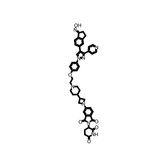 O=C1CCC(N2C(=O)c3ccc(N4CC(C5CCN(CCOc6ccc(-n7cc(-c8ccc9c(c8)CC/C9=N\O)c(-c8ccncc8)n7)cc6)CC5)C4)cc3C2=O)C(=O)N1